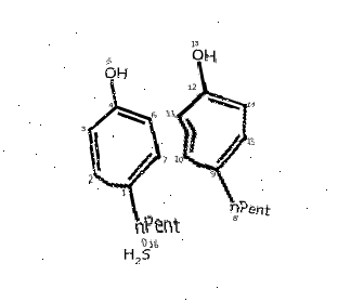 CCCCCc1ccc(O)cc1.CCCCCc1ccc(O)cc1.S